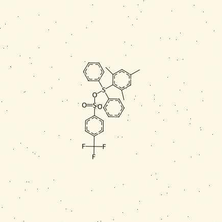 Cc1cc(C)c(S(OS(=O)(=O)c2ccc(C(F)(F)F)cc2)(c2ccccc2)c2ccccc2)c(C)c1